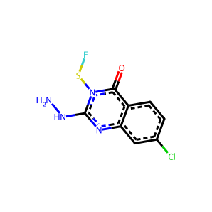 NNc1nc2cc(Cl)ccc2c(=O)n1SF